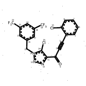 O=C(C#Cc1ccccc1Cl)c1nnn(Cc2cc(C(F)(F)F)cc(C(F)(F)F)c2)c1Cl